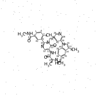 CNC(=O)c1ccc(C)c(-c2ncc(NC(=O)[C@H](C)NC)c(=O)n2Cc2cncc(-n3cc(C)c4cc(F)ccc43)c2)c1